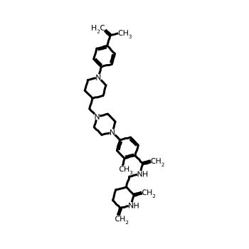 C=C1CCC(CNC(=C)c2ccc(N3CCN(CC4CCN(c5ccc(C(=C)C)cc5)CC4)CC3)cc2C)C(=C)N1